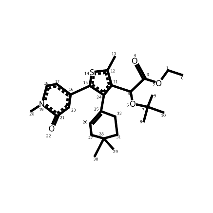 CCOC(=O)C(OC(C)(C)C)c1c(C)sc(-c2ccn(C)c(=O)c2)c1C1=CCC(C)(C)CC1